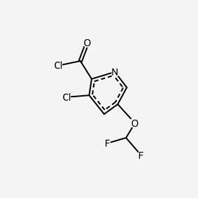 O=C(Cl)c1ncc(OC(F)F)cc1Cl